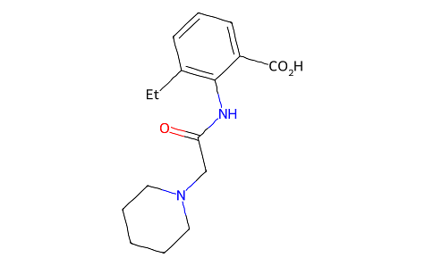 CCc1cccc(C(=O)O)c1NC(=O)CN1CCCCC1